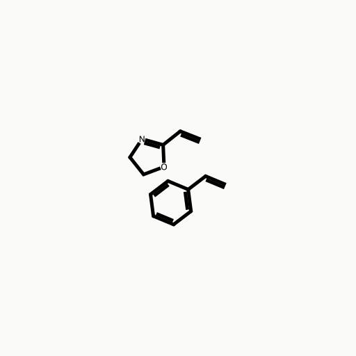 C=CC1=NCCO1.C=Cc1ccccc1